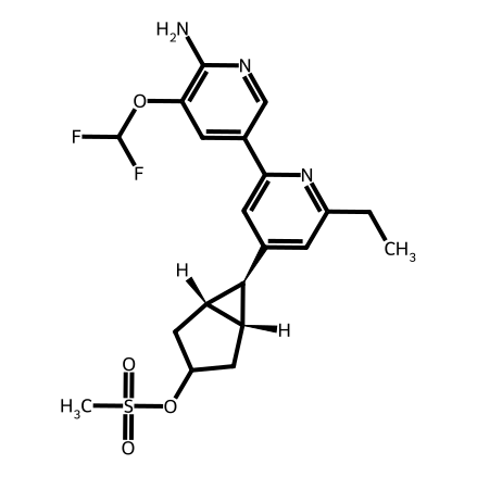 CCc1cc([C@H]2[C@@H]3CC(OS(C)(=O)=O)C[C@@H]32)cc(-c2cnc(N)c(OC(F)F)c2)n1